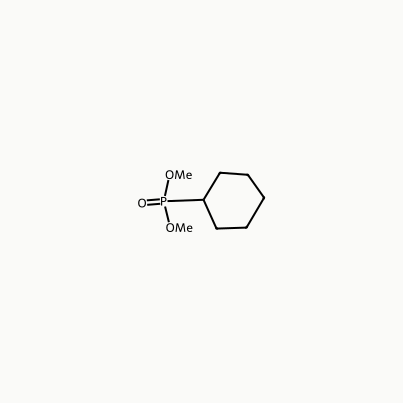 COP(=O)(OC)C1CCCCC1